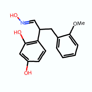 COc1ccccc1CC(C=NO)c1ccc(O)cc1O